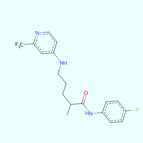 CC(CCCNc1ccnc(C(F)(F)F)c1)C(=O)Nc1ccc(F)cc1